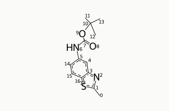 Cc1nc2cc(NC(=O)OC(C)(C)C)ccc2s1